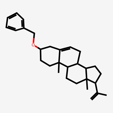 C=C(C)C1CCC2C3CC=C4CC(OCc5ccccc5)CCC4(C)C3CCC12C